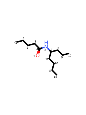 [CH2]CCCC(=O)NC(CCC)CCCC